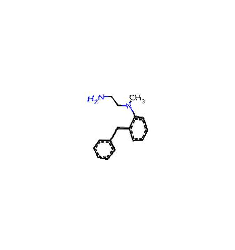 CN(CCN)c1ccccc1Cc1ccccc1